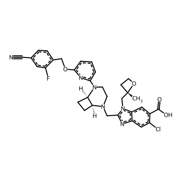 C[C@@]1(Cn2c(CN3CCN(c4cccc(OCc5ccc(C#N)cc5F)n4)[C@@H]4CC[C@@H]43)nc3cc(Cl)c(C(=O)O)cc32)CCO1